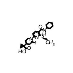 CCCSc1nc(N2CCC(C3(C(=O)O)CC3)CC2I)ccc1C(=O)NC1CCCCC1